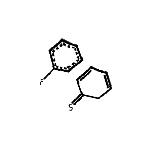 Fc1ccccc1.S=C1C=CC=CC1